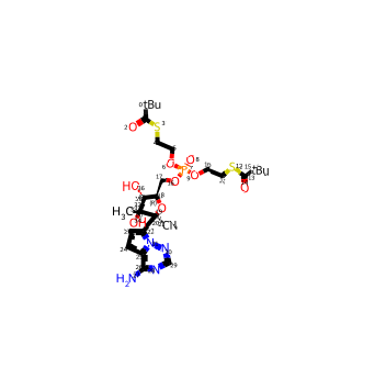 CC(C)(C)C(=O)SCCOP(=O)(OCCSC(=O)C(C)(C)C)OC[C@H]1O[C@@](C#N)(c2ccc3c(N)ncnn23)[C@](C)(O)[C@@H]1O